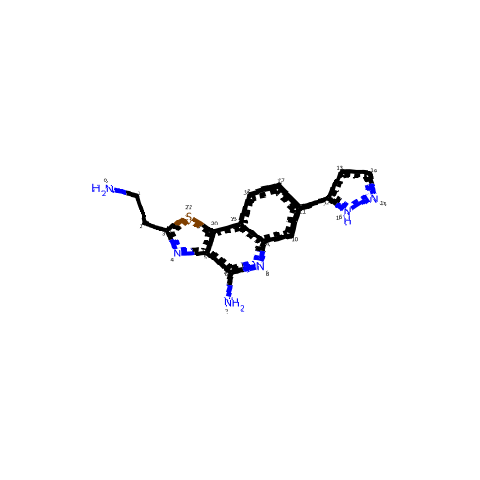 NCCc1nc2c(N)nc3cc(-c4ccn[nH]4)ccc3c2s1